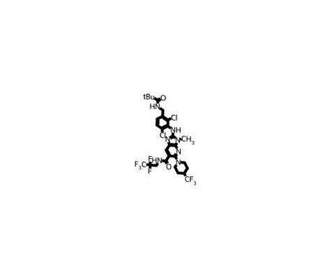 Cn1c(Nc2c(Cl)ccc(CNC(=O)C(C)(C)C)c2Cl)nc2cc(C(=O)NCC(F)(F)C(F)(F)F)c(N3CCC(C(F)(F)F)CC3)nc21